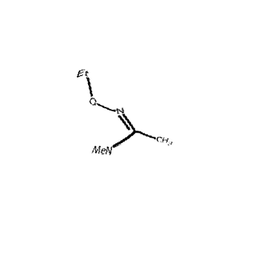 CCO/N=C(/C)NC